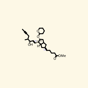 CC#CCC(C)[C@H](O)/C=C/[C@H]1[C@H](OC2CCCCO2)CC2C/C(=C\CCCC(=O)OC)C[C@@H]21